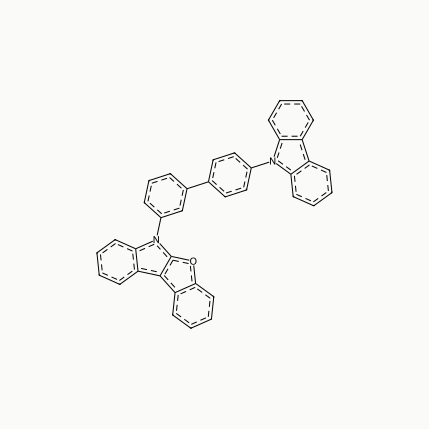 c1cc(-c2ccc(-n3c4ccccc4c4ccccc43)cc2)cc(-n2c3ccccc3c3c4ccccc4oc32)c1